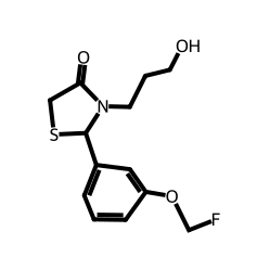 O=C1CSC(c2cccc(OCF)c2)N1CCCO